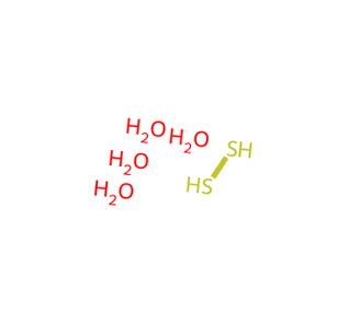 O.O.O.O.SS